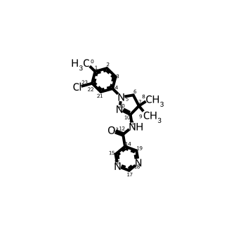 Cc1ccc(N2CC(C)(C)C(NC(=O)c3cncnc3)=N2)cc1Cl